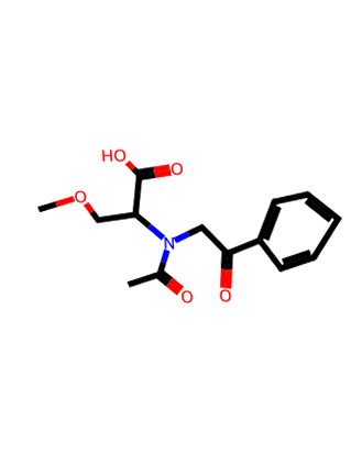 COCC(C(=O)O)N(CC(=O)c1ccccc1)C(C)=O